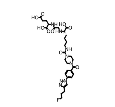 O=C(O)CCC(NC(=O)CN[C@@H](CCCCNC(=O)N1CCN(C(=O)c2ccc(-n3cc(CCCF)nn3)cc2)CC1)C(=O)O)C(=O)O